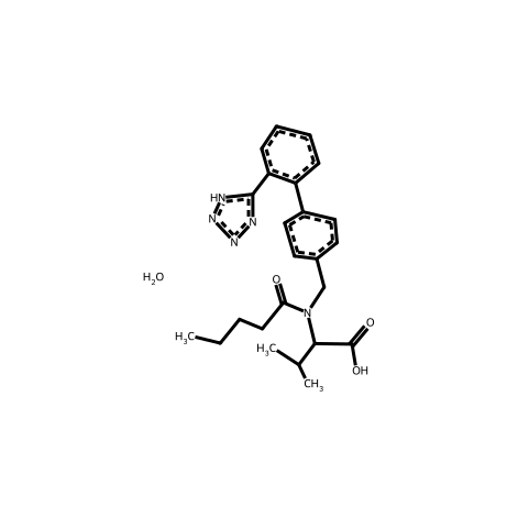 CCCCC(=O)N(Cc1ccc(-c2ccccc2-c2nnn[nH]2)cc1)C(C(=O)O)C(C)C.O